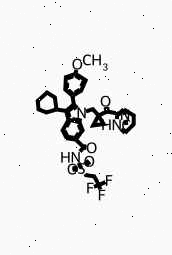 COc1ccc(-c2c(C3CCCCC3)c3ccc(C(=O)NS(=O)(=O)CCC(F)(F)F)cc3n2CC2(C(=O)N3CC4CCC3CN4)CC2)cc1